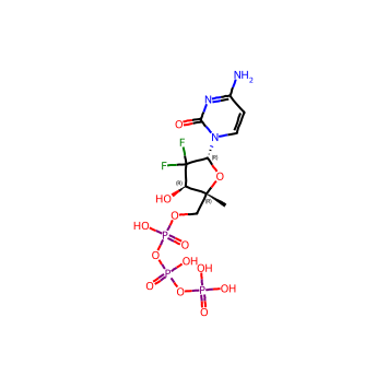 C[C@]1(COP(=O)(O)OP(=O)(O)OP(=O)(O)O)O[C@@H](n2ccc(N)nc2=O)C(F)(F)[C@@H]1O